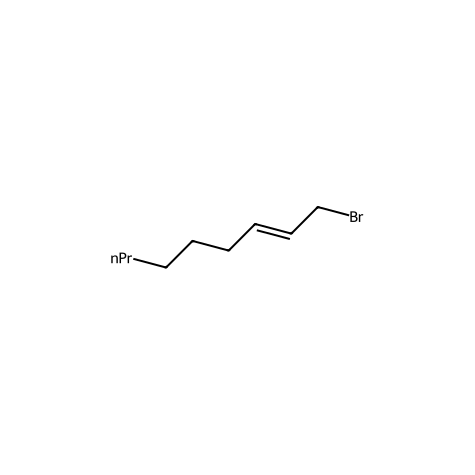 CCCCCC/C=C/CBr